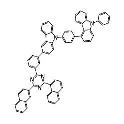 c1ccc(-n2c3ccccc3c3c(-c4ccc(-n5c6ccccc6c6cc(-c7cccc(-c8nc(-c9ccc%10ccccc%10c9)nc(-c9cccc%10ccccc9%10)n8)c7)ccc65)cc4)cccc32)cc1